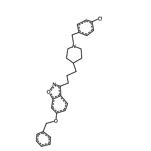 Clc1ccc(CN2CCC(CCCc3noc4cc(OCc5ccccc5)ccc34)CC2)cc1